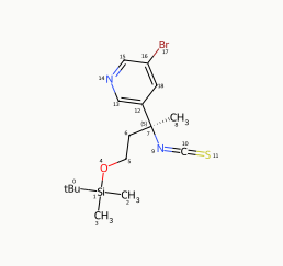 CC(C)(C)[Si](C)(C)OCC[C@](C)(N=C=S)c1cncc(Br)c1